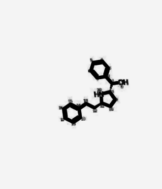 OC(c1ccccc1)[C@@H]1CC[C@@H](CCc2ccccc2)N1